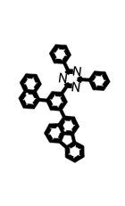 c1ccc(-c2nc(-c3ccccc3)nc(-c3cc(-c4cccc5ccccc45)cc(-c4ccc5c6c(cccc46)-c4ccccc4-5)c3)n2)cc1